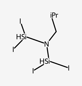 CC(C)CN([SiH](I)I)[SiH](I)I